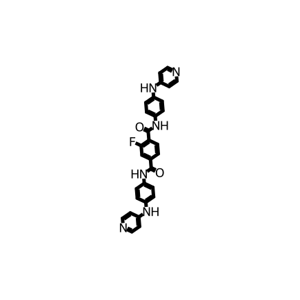 O=C(Nc1ccc(Nc2ccncc2)cc1)c1ccc(C(=O)Nc2ccc(Nc3ccncc3)cc2)c(F)c1